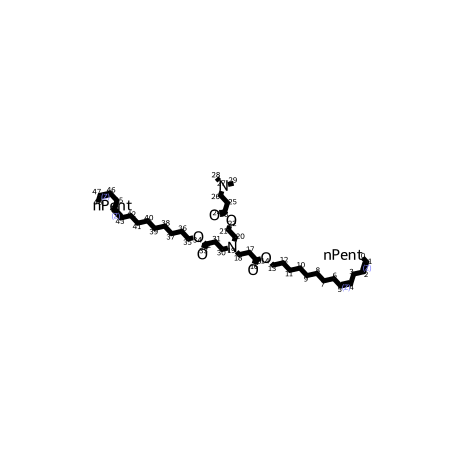 CCCCC/C=C\C/C=C\CCCCCCCCOC(=O)CCN(CCOC(=O)CCN(C)C)CCC(=O)OCCCCCCCC/C=C\C/C=C\CCCCC